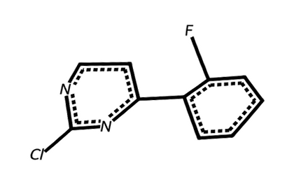 Fc1ccccc1-c1ccnc(Cl)n1